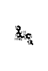 Cc1cn(-c2nccc3[nH]c(-c4n[nH]c5ncc(-c6cccnc6)c(F)c45)nc23)cn1